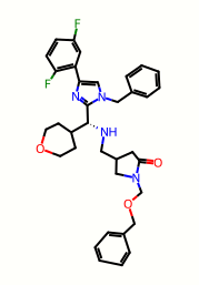 O=C1CC(CN[C@@H](c2nc(-c3cc(F)ccc3F)cn2Cc2ccccc2)C2CCOCC2)CN1COCc1ccccc1